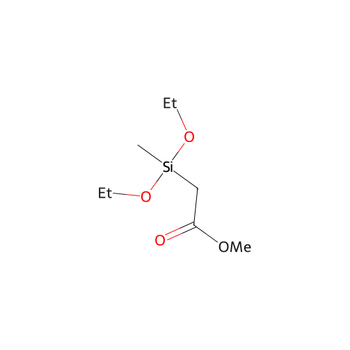 CCO[Si](C)(CC(=O)OC)OCC